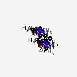 C1CC[CH]([Zr][CH]2CCCCC2)CC1.CC(NC(=O)c1c(C(C)C)cc(C)cc1C(C)C)=C1C=CCC(=C(C)NC(=O)c2c(C(C)C)cc(C)cc2C(C)C)N1.CC(NC(=O)c1c(C(C)C)cc(C)cc1C(C)C)=C1C=CCC(=C(C)NC(=O)c2c(C(C)C)cc(C)cc2C(C)C)N1.[Zr]